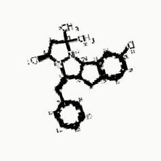 CC1(C)CC(=O)N2/C(=C/c3ccccc3)C3Cc4ccc(Cl)cc4C3N21